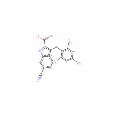 Cc1cc(C)c(Cc2c(C(=O)O)[nH]c3cc(C#N)ccc23)c(C)c1